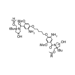 COc1cc(OCCCCCOc2cc(OC)c(C(=O)N3C[C@H](O)C[C@@]3(CO[SiH](C)C)C(C)(C)C)cc2N)c(N)cc1C(=O)N1C[C@H](O)C[C@@]1(CO[SiH](C)C)C(C)(C)C